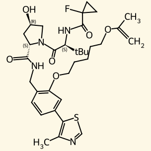 C=C(C)OCCCCCOc1cc(-c2scnc2C)ccc1CNC(=O)[C@@H]1C[C@@H](O)CN1C(=O)[C@@H](NC(=O)C1(F)CC1)C(C)(C)C